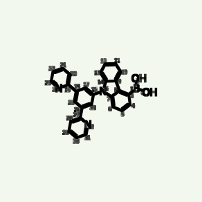 OB(O)c1cccc2c1c1ccccc1n2-c1cc(-c2ccccn2)cc(-c2ccccn2)c1